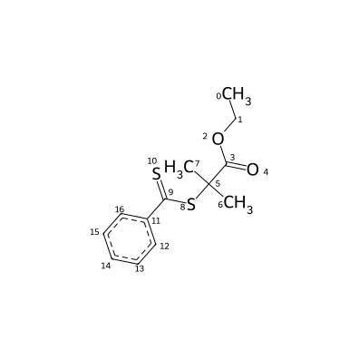 CCOC(=O)C(C)(C)SC(=S)c1ccccc1